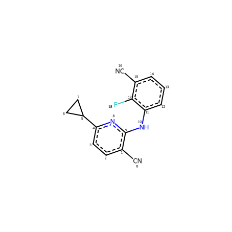 N#Cc1ccc(C2CC2)nc1Nc1cccc(C#N)c1F